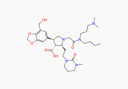 CCCCN(CCCN(C)C)C(=O)CN1C[C@H](c2cc(CO)c3c(c2)OCO3)[C@@H](C(=O)O)[C@@H]1CCN1CCCN(C)C1=O